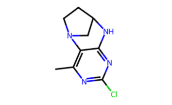 Cc1nc(Cl)nc2c1N1CCC(C1)N2